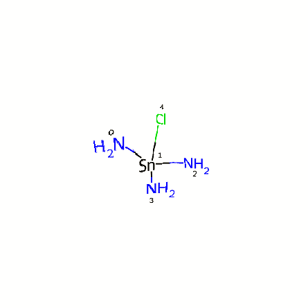 [NH2][Sn]([NH2])([NH2])[Cl]